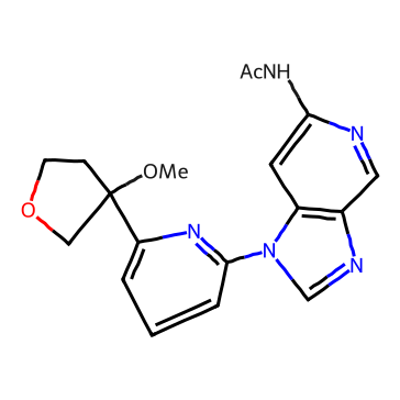 COC1(c2cccc(-n3cnc4cnc(NC(C)=O)cc43)n2)CCOC1